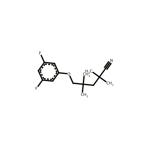 CC(C)(C#N)CC(C)(C)COc1cc(F)cc(F)c1